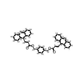 O=C(C=Cc1c2ccccc2nc2ccccc12)OCc1ccc(COC(=O)C=Cc2c3ccccc3nc3ccccc23)cc1